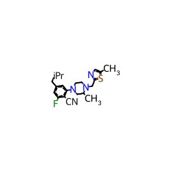 Cc1cnc(CN2CCN(c3cc(CC(C)C)cc(F)c3C#N)CC2C)s1